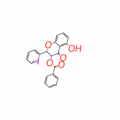 O=C(OC1C(=O)c2c(O)cccc2OC1C1=CC=CC=I1)c1ccccc1